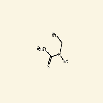 CCN(CC(C)C)C(=S)OCC(C)C